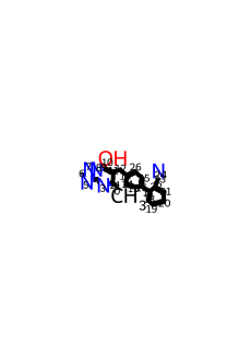 CCc1nc2ncnn2c(O)c1Cc1ccc(-c2ccccc2C#N)cc1